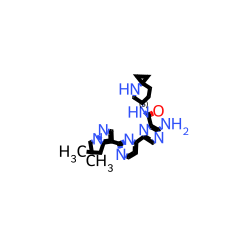 CC1(C)Cc2c(-c3nccc(-c4cnc(N)c(C(=O)N[C@H]5CCC6(CC6)NC5)n4)n3)cnn2C1